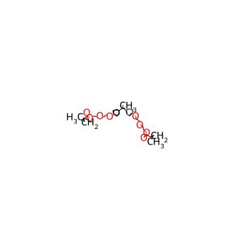 C=C(C)C(=O)OCCOCCOC1=CC=C(C(C)c2ccc(OCCOCCOC(=O)C(=C)C)cc2)CC1